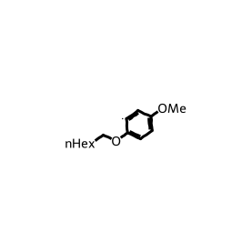 CCCCCCCOc1[c]cc(OC)cc1